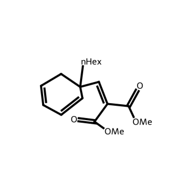 CCCCCCC1(C=C(C(=O)OC)C(=O)OC)C=CC=CC1